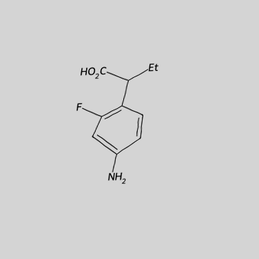 CCC(C(=O)O)c1ccc(N)cc1F